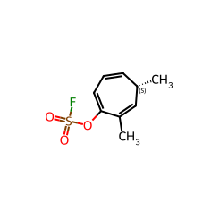 CC1=C[C@@H](C)C=CC=C1OS(=O)(=O)F